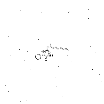 C=CCCCCC[C@@H](C)OC(=O)N[C@H](C(=O)O)C1CCCCC1